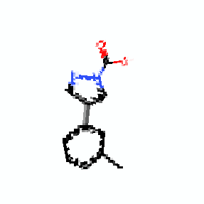 Cc1cccc(-c2cnn(C(=O)O)c2)c1